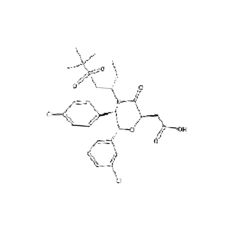 CC[C@@H](CS(=O)(=O)C(C)(C)C)N1C(=O)[C@@H](CC(=O)O)O[C@H](c2cccc(Cl)c2)[C@H]1c1ccc(Cl)cc1